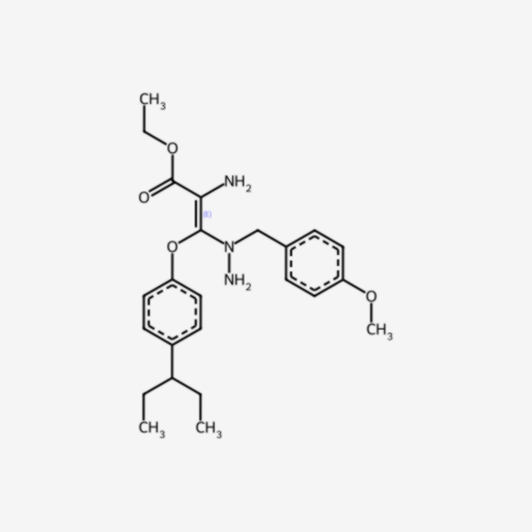 CCOC(=O)/C(N)=C(\Oc1ccc(C(CC)CC)cc1)N(N)Cc1ccc(OC)cc1